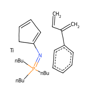 C=CC(=C)c1ccccc1.CCCCP(CCCC)(CCCC)=NC1=CC=CC1.[Ti]